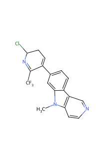 Cn1c2ccncc2c2ccc(C3=CCC(Cl)N=C3C(F)(F)F)cc21